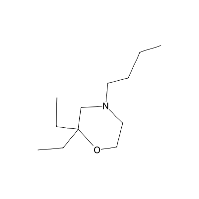 CCCCN1CCOC(CC)(CC)C1